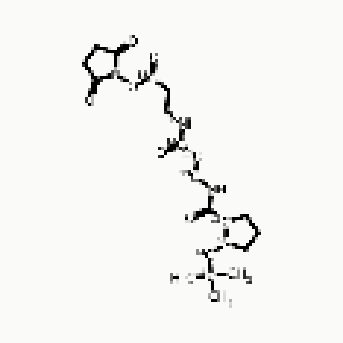 C[13C](C)(C)[13CH2][15N]1CCC[13CH]1C(=O)N[13CH2][13CH2][13C](=O)[15NH]CC[13C](=O)ON1C(=O)CCC1=O